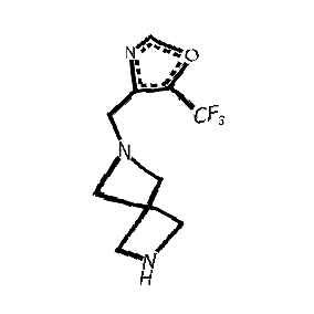 FC(F)(F)c1ocnc1CN1CC2(CNC2)C1